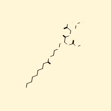 CCCCCCCCCCCCCCCCCC(=O)OCCSC[C@H](NC(=O)OC(C)(C)C)C(=O)N[C@@H](COC(C)(C)C)C(=O)OC